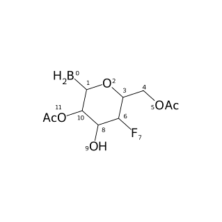 BC1OC(COC(C)=O)C(F)C(O)C1OC(C)=O